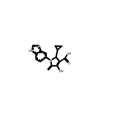 C=C1C(O)=C(C(=O)CCC)C(C2CC2)N1c1ccc2[nH]cnc2c1